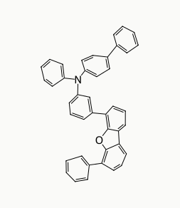 c1ccc(-c2ccc(N(c3ccccc3)c3cccc(-c4cccc5c4oc4c(-c6ccccc6)cccc45)c3)cc2)cc1